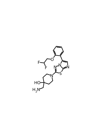 NCC1(O)CCN(c2nn3c(-c4ccccc4OCC(F)F)cnc3s2)CC1